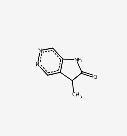 CC1C(=O)Nc2cnncc21